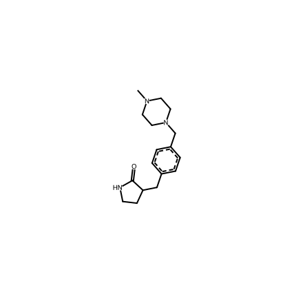 CN1CCN(Cc2ccc(CC3CCNC3=O)cc2)CC1